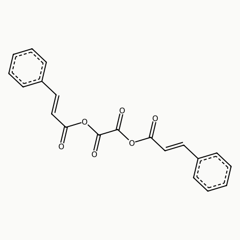 O=C(/C=C/c1ccccc1)OC(=O)C(=O)OC(=O)/C=C/c1ccccc1